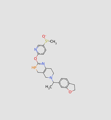 CC(c1ccc2c(c1)OCC2)N1CCC2=C(CPC(Oc3ccc([S+](C)[O-])cn3)=N2)C1